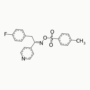 Cc1ccc(S(=O)(=O)O/N=C(\Cc2ccc(F)cc2)c2ccncc2)cc1